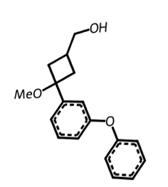 COC1(c2cccc(Oc3ccccc3)c2)CC(CO)C1